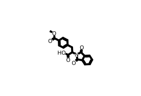 COC(=O)c1ccc(CC(C(=O)O)N2C(=O)c3ccccc3C2=O)cc1